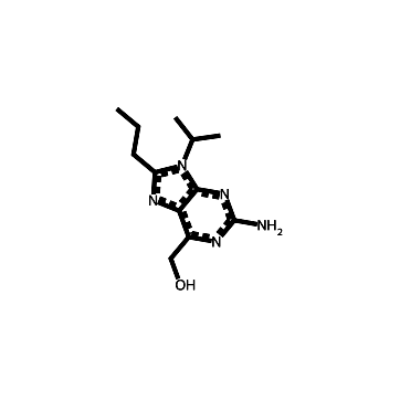 CCCc1nc2c(CO)nc(N)nc2n1C(C)C